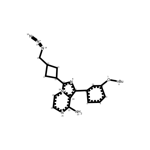 CCCCOc1cccc(-c2nc(C3CC(CN=[N+]=[N-])C3)n3ccnc(N)c23)c1